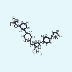 Cc1oc(-c2ccc(-n3cccn3)cc2)nc1CN1CCC(c2cccc(OC(F)(F)F)c2)CC1